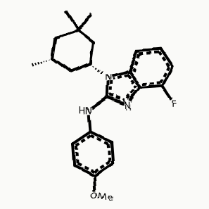 COc1ccc(Nc2nc3c(F)cccc3n2[C@@H]2C[C@H](C)CC(C)(C)C2)cc1